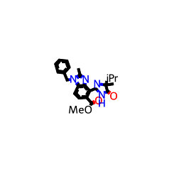 COC(=O)c1ccc2c(nc(C)n2Cc2ccccc2)c1C1=NC(C)(C(C)C)C(=O)N1